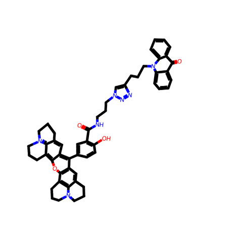 O=C(NCCCn1cc(CCCn2c3ccccc3c(=O)c3ccccc32)nn1)c1cc(C2=c3cc4c5c(c3Oc3c2cc2c6c3CCCN6CCC2)CCC[N+]=5CCC4)ccc1O